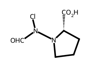 O=CN(Cl)N1CCC[C@H]1C(=O)O